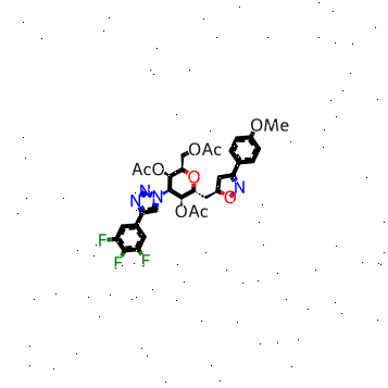 COc1ccc(C2=NO[C@@H](C[C@H]3O[C@H](COC(C)=O)[C@H](OC(C)=O)[C@H](n4cc(-c5cc(F)c(F)c(F)c5)nn4)[C@H]3OC(C)=O)C2)cc1